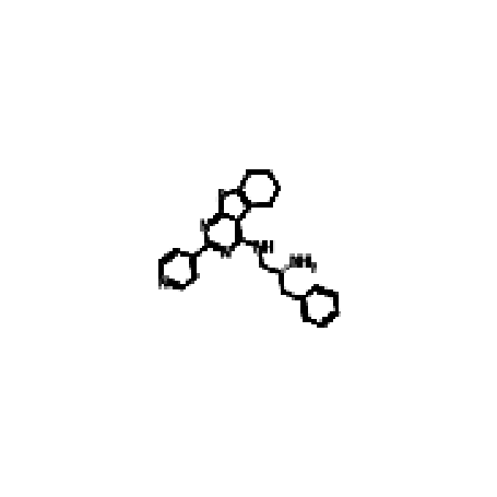 N[C@@H](CNc1nc(-c2ccncc2)nc2sc3c(c12)CCCC3)Cc1ccccc1